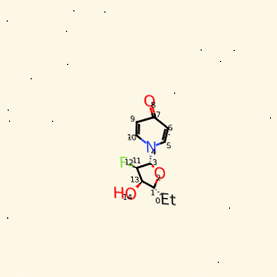 CC[C@H]1O[C@@H](n2ccc(=O)cc2)[C@H](F)[C@@H]1O